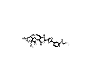 CN/C=C(/NC(=O)c1coc(-c2ccnc(NCC(F)(F)F)c2)n1)C(=N)N1CC(CSC)C(C)(C)C1=O